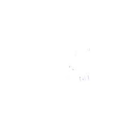 NC1=NC2(CO1)c1cc(Br)ccc1OC1CCCCC12